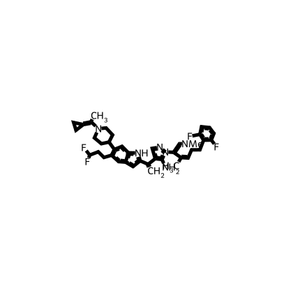 C=C(c1cc2cc(CCC(F)F)c(C3CCN(C(C)=C4CC4)CC3)cc2[nH]1)c1cnn(C(=C/NC)/C(C)=C\CCc2c(F)cccc2F)c1N